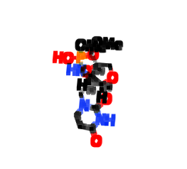 COC[C@@]12CO[C@H]([C@H](Cn3ccc(=O)[nH]c3=O)O1)[C@H]2NP(=O)(O)OC